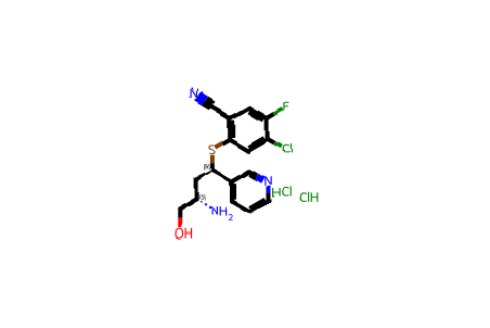 Cl.Cl.N#Cc1cc(F)c(Cl)cc1S[C@H](C[C@H](N)CO)c1cccnc1